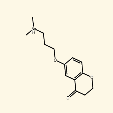 [CH3][SnH]([CH3])[CH2]CCOc1ccc2c(c1)C(=O)CCO2